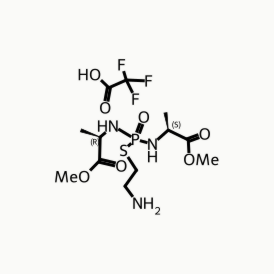 COC(=O)[C@H](C)NP(=O)(N[C@H](C)C(=O)OC)SCCN.O=C(O)C(F)(F)F